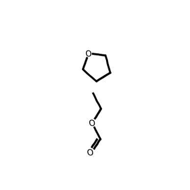 C1CCOC1.CCOC=O